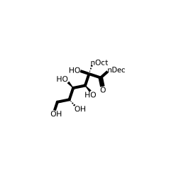 CCCCCCCCCCC(=O)[C@@](O)(CCCCCCCC)[C@@H](O)[C@H](O)[C@H](O)CO